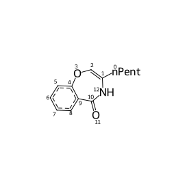 CCCCCC1=COc2ccccc2C(=O)N1